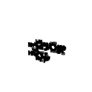 CC(Nc1ncc(C#N)c(-c2c[nH]c3ncc(C(F)(F)F)cc23)n1)C1CCC(NS(C)(=O)=O)CC1